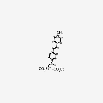 CCOC(=O)CN(CC(=O)OCC)c1ccc(/C=C/c2cc[n+](C)cc2)cc1